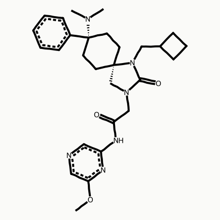 COc1cncc(NC(=O)CN2C[C@]3(CC[C@@](c4ccccc4)(N(C)C)CC3)N(CC3CCC3)C2=O)n1